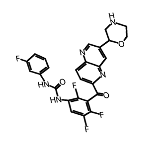 O=C(Nc1cccc(F)c1)Nc1cc(F)c(F)c(C(=O)c2ccc3ncc(C4CNCCO4)cc3n2)c1F